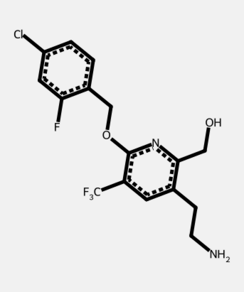 NCCc1cc(C(F)(F)F)c(OCc2ccc(Cl)cc2F)nc1CO